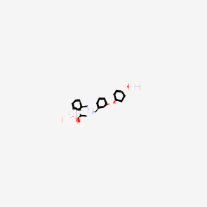 COc1ccc(Oc2cccc(CN(CCC(=O)O)Cc3cccc(C)c3)c2)cc1